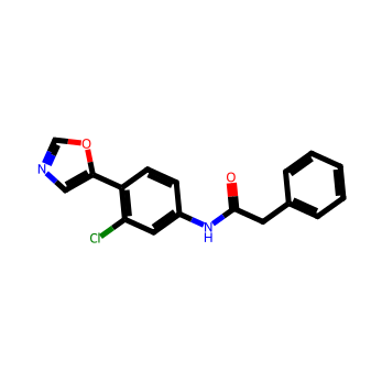 O=C(Cc1ccccc1)Nc1ccc(-c2cnco2)c(Cl)c1